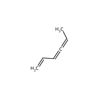 C=CC=C=CC